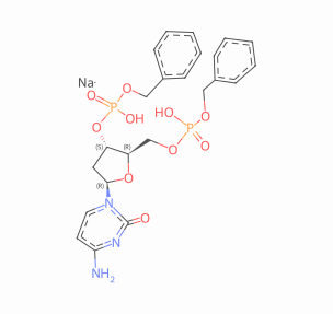 Nc1ccn([C@H]2C[C@H](OP(=O)(O)OCc3ccccc3)[C@@H](COP(=O)(O)OCc3ccccc3)O2)c(=O)n1.[Na]